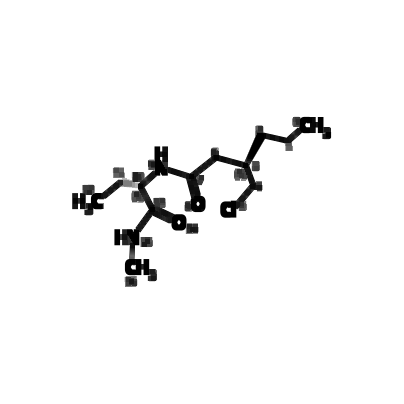 CCC[C@@H](CCl)CC(=O)N[C@@H](CC)C(=O)NC